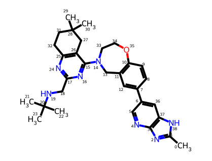 Cc1nc2ncc(-c3ccc4c(c3)CN(c3nc(CNC(C)(C)C)nc5c3CC(C)(C)CC5)CCO4)cc2[nH]1